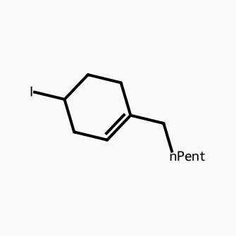 CCCCCCC1=CCC(I)CC1